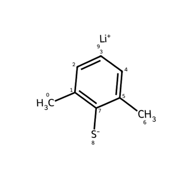 Cc1cccc(C)c1[S-].[Li+]